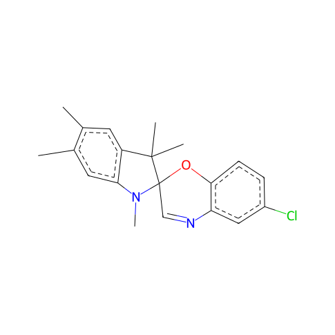 Cc1cc2c(cc1C)C(C)(C)C1(C=Nc3cc(Cl)ccc3O1)N2C